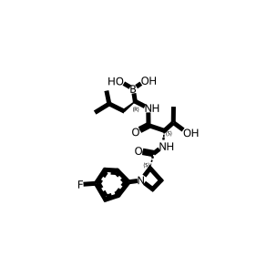 CC(C)C[C@H](NC(=O)[C@@H](NC(=O)[C@@H]1CCN1c1ccc(F)cc1)C(C)O)B(O)O